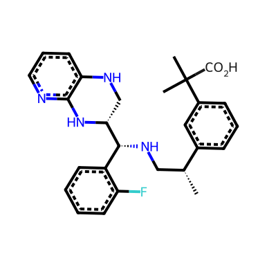 C[C@H](CN[C@H](c1ccccc1F)[C@H]1CNc2cccnc2N1)c1cccc(C(C)(C)C(=O)O)c1